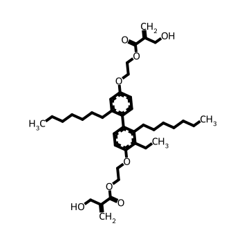 C=C(CO)C(=O)OCCOc1ccc(-c2ccc(OCCOC(=O)C(=C)CO)c(CC)c2CCCCCCC)c(CCCCCCC)c1